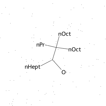 CCCCCCCCC(CCC)(CCCCCCCC)C([O])CCCCCCC